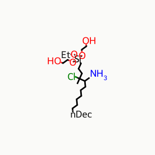 CCCCCCCCCCCCCCCCC(C)C(C)(Cl)CCC[Si](OCC)(OCCO)OCCO.N